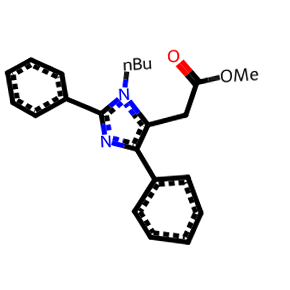 CCCCn1c(-c2ccccc2)nc(-c2ccccc2)c1CC(=O)OC